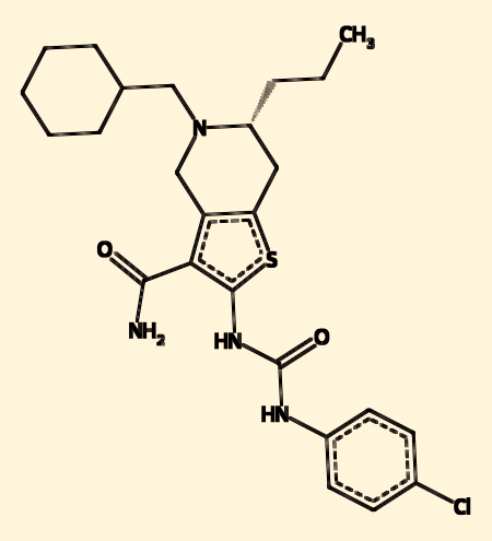 CCC[C@@H]1Cc2sc(NC(=O)Nc3ccc(Cl)cc3)c(C(N)=O)c2CN1CC1CCCCC1